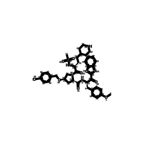 COc1ccc(C[C@H](NC(=O)[C@@H]2C[C@@H](OCc3ccc(Cl)cc3)CN2C(=O)[C@@H](CCC2CCNCC2)NS(C)(=O)=O)C(=O)c2nc3ccccc3o2)cc1